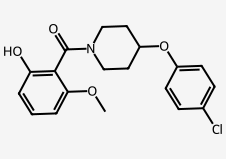 COc1cccc(O)c1C(=O)N1CCC(Oc2ccc(Cl)cc2)CC1